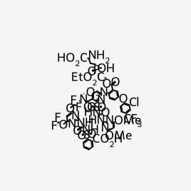 CCOC(=O)COC(=O)c1cc(Oc2ccc(C(F)(F)F)cc2Cl)ccc1[N+](=O)[O-].COc1cc(OC)nc(NC(=O)NS(=O)(=O)c2ncccc2C(=O)N(C)C)n1.CP(=O)(O)CCC(N)C(=O)O.O=C(Nc1nc(OC(F)F)cc(OC(F)F)n1)NS(=O)(=O)c1ccccc1C(=O)O